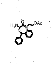 CC(=O)OCCN1C(=O)[C@H](N)N=C(c2ccccc2)c2ccccc21